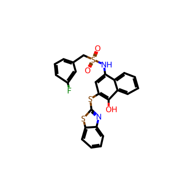 O=S(=O)(Cc1cccc(F)c1)Nc1cc(Sc2nc3ccccc3s2)c(O)c2ccccc12